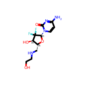 Nc1ccn([C@@H]2O[C@H](CNCCO)[C@@H](O)C2(F)F)c(=O)n1